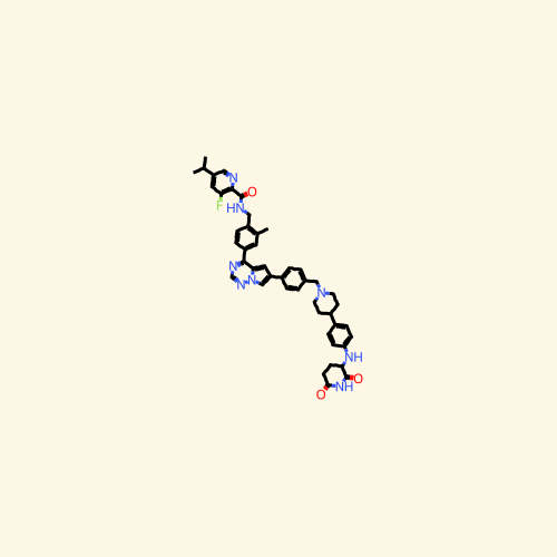 Cc1cc(-c2ncnn3cc(-c4ccc(CN5CCC(c6ccc(NC7CCC(=O)NC7=O)cc6)CC5)cc4)cc23)ccc1CNC(=O)c1ncc(C(C)C)cc1F